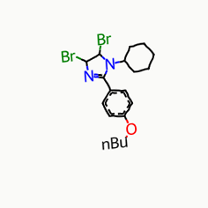 CCCCOc1ccc(C2=NC(Br)C(Br)N2C2CCCCC2)cc1